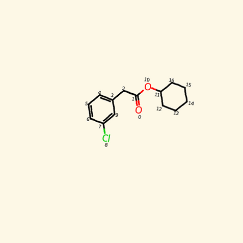 O=C(Cc1cccc(Cl)c1)OC1CCCCC1